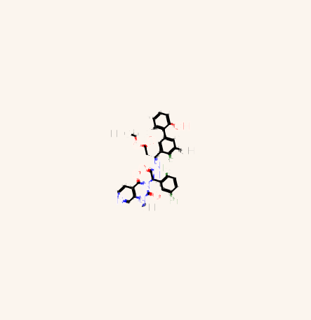 CCOC(=O)C[C@H](NC(=O)C(c1cc(Br)ccc1F)n1c(=O)c2ccncc2n(C)c1=O)c1cc(-c2c(C)cccc2O)cc(C)c1F